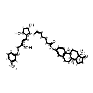 C[C@]12CC[C@@H]3c4ccc(OC(=O)CCC/C=C\C[C@@H]5[C@@H](/C=C/[C@@H](O)COc6cccc(C(F)(F)F)c6)[C@H](O)C[C@@H]5O)cc4CC[C@H]3[C@@H]1CCC2=O